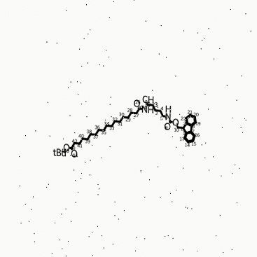 C[C@@H](CCCCNC(=O)OCC1c2ccccc2-c2ccccc21)NC(=O)CCCCCCCCCCCCCCCCC(=O)OC(C)(C)C